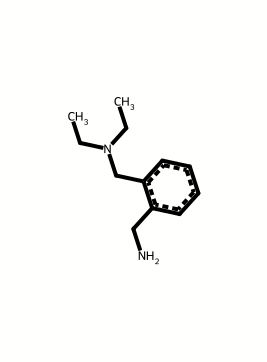 CCN(CC)Cc1ccccc1CN